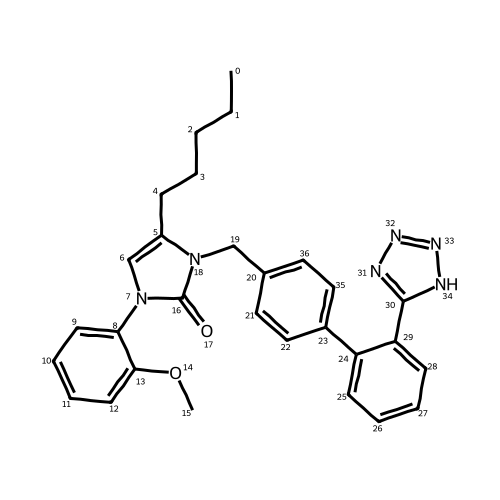 CCCCCc1cn(-c2ccccc2OC)c(=O)n1Cc1ccc(-c2ccccc2-c2nnn[nH]2)cc1